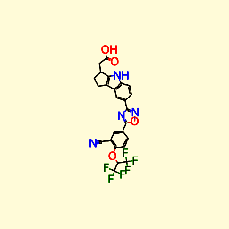 N#Cc1cc(-c2nc(-c3ccc4[nH]c5c(c4c3)CCC5CC(=O)O)no2)ccc1OC(C(F)(F)F)C(F)(F)F